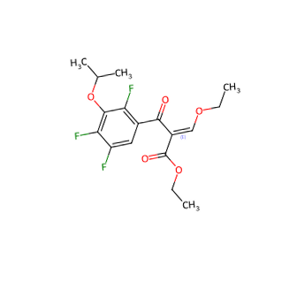 CCO/C=C(/C(=O)OCC)C(=O)c1cc(F)c(F)c(OC(C)C)c1F